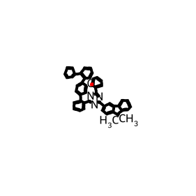 CC1(C)c2ccccc2-c2cc(-c3nc(-c4ccccc4)nc(-c4ccccc4-c4ccc5c(c4)oc4cccc(-c6ccccc6)c45)n3)ccc21